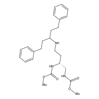 CC(C)(C)OC(=O)NC[C@@H](CCNC(CCc1ccccc1)CCc1ccccc1)NC(=O)OC(C)(C)C